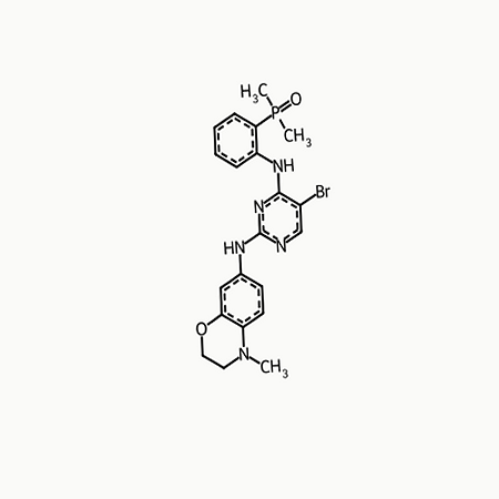 CN1CCOc2cc(Nc3ncc(Br)c(Nc4ccccc4P(C)(C)=O)n3)ccc21